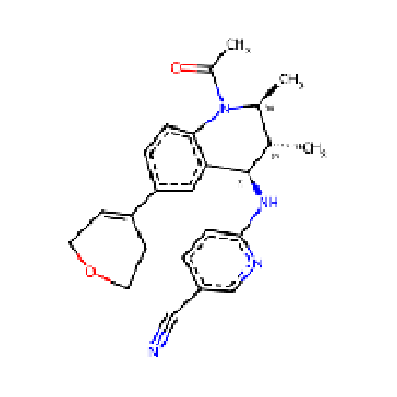 CC(=O)N1c2ccc(C3=CCOCC3)cc2[C@H](Nc2ccc(C#N)cn2)[C@@H](C)[C@@H]1C